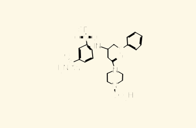 NS(=O)(=O)c1ccc(NC(CSc2ccccc2)CC(=O)N2CCN(C(=O)O)CC2)c(S(=O)(=O)C(F)(F)F)c1